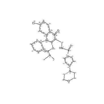 CN(C)C(=O)Oc1c(CNC(=O)c2ccc(N3CCOCC3)nc2)c(=O)c2ccc(Cl)cc2n1-c1ccccc1